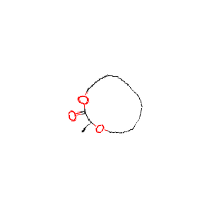 C[C@@H]1OCCCCCCCCCCCOC1=O